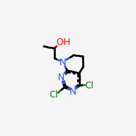 CC(O)CN1CCCc2c(Cl)nc(Cl)nc21